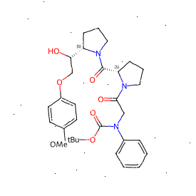 COc1ccc(OCC(O)[C@@H]2CCCN2C(=O)[C@@H]2CCCN2C(=O)CN(C(=O)OC(C)(C)C)c2ccccc2)cc1